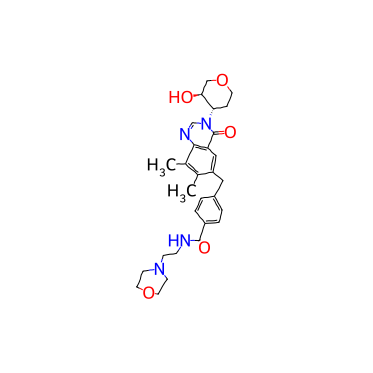 Cc1c(Cc2ccc(C(=O)NCCN3CCOCC3)cc2)cc2c(=O)n([C@H]3CCOC[C@@H]3O)cnc2c1C